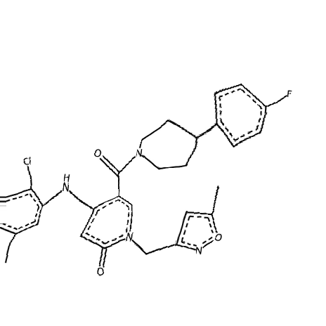 Cc1ccc(Cl)c(Nc2cc(=O)n(Cc3cc(C)on3)cc2C(=O)N2CCC(c3ccc(F)cc3)CC2)c1